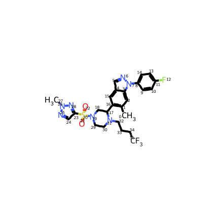 Cc1cc2c(cnn2-c2ccc(F)cc2)cc1C1CN(S(=O)(=O)c2cnn(C)n2)CCN1CCCC(F)(F)F